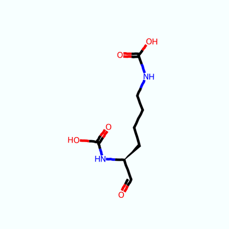 O=C[C@H](CCCCNC(=O)O)NC(=O)O